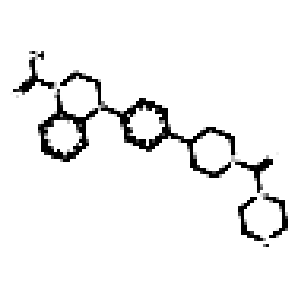 O=C(N1CCOCC1)N1CCC(c2ccc(N3CCN(C(=O)O)c4ccccc43)cc2)CC1